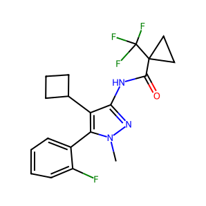 Cn1nc(NC(=O)C2(C(F)(F)F)CC2)c(C2CCC2)c1-c1ccccc1F